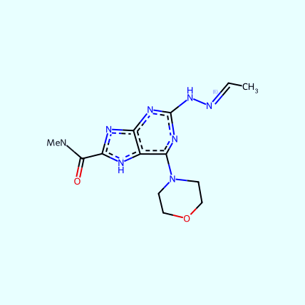 C/C=N/Nc1nc(N2CCOCC2)c2[nH]c(C(=O)NC)nc2n1